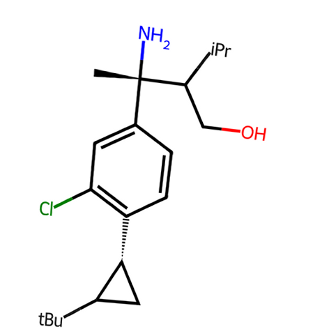 CC(C)C(CO)[C@@](C)(N)c1ccc([C@@H]2CC2C(C)(C)C)c(Cl)c1